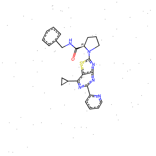 O=C(NCc1ccccc1)[C@H]1CCCN1c1nc2nc(-c3ccccn3)nc(C3CC3)c2s1